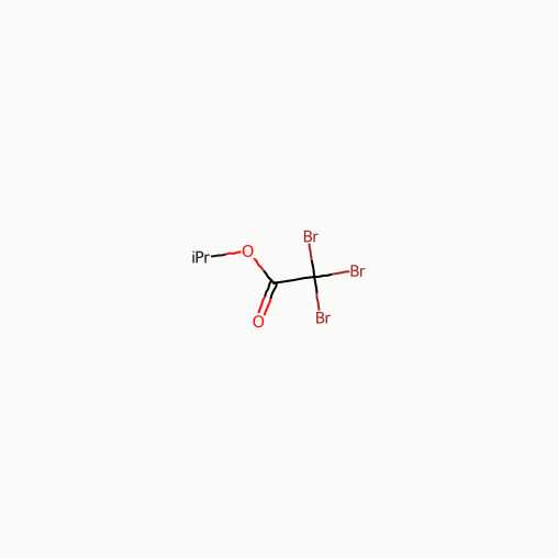 CC(C)OC(=O)C(Br)(Br)Br